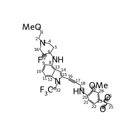 COCCN1CCC(Nc2cccc3c2cc(C#CCNc2ccc(S(C)(=O)=O)cc2OC)n3CC(F)(F)F)[C@H](F)C1